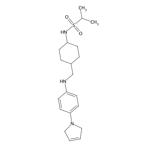 CC(C)S(=O)(=O)NC1CCC(CNc2ccc(N3CC=CC3)cc2)CC1